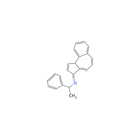 CC(N=C1C=CC2C1=[C]C=Cc1ccccc12)c1ccccc1